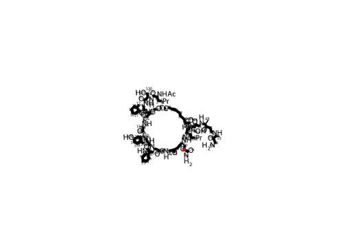 CC(=O)N[C@@H](CC(C)C)C(=O)N[C@H](C(=O)N[C@@H](Cc1ccccc1)C(=O)N[C@]1(C)CCCCCC/C=C\CCC[C@@](C)(C(=O)N[C@@H](CO)C(=O)CN[C@@H](C)C(=O)CCN[C@@H](C)C(=O)CN)NC(=O)[C@H](CCC(C)C)NN[C@@H](CCC(N)=O)C(=O)CC(=O)[C@H](C)NCC(=O)[C@H](Cc2c[nH]c3ccccc23)NC(=O)[C@H](Cc2ccc(O)cc2)NCC(=O)[C@H](C)NCC1=O)[C@@H](C)O